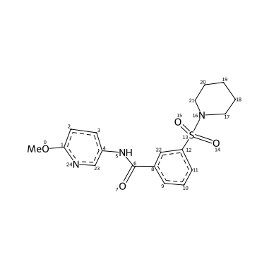 COc1ccc(NC(=O)c2cccc(S(=O)(=O)N3CCCCC3)c2)cn1